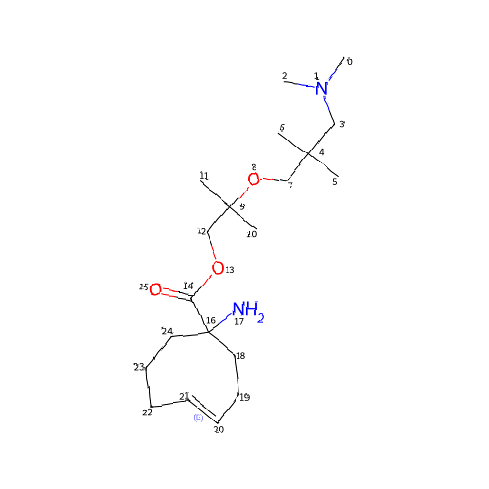 CN(C)CC(C)(C)COC(C)(C)COC(=O)C1(N)CC/C=C/CCC1